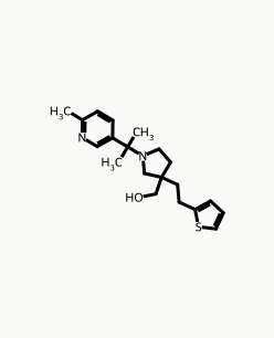 Cc1ccc(C(C)(C)N2CCC(CO)(CCc3cccs3)C2)cn1